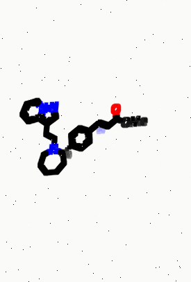 COC(=O)/C=C/c1ccc([C@@H]2CCCCCN2CCc2cnn3ccccc23)cc1